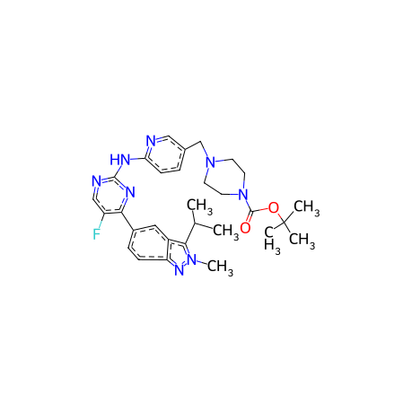 CC(C)c1c2cc(-c3nc(Nc4ccc(CN5CCN(C(=O)OC(C)(C)C)CC5)cn4)ncc3F)ccc2nn1C